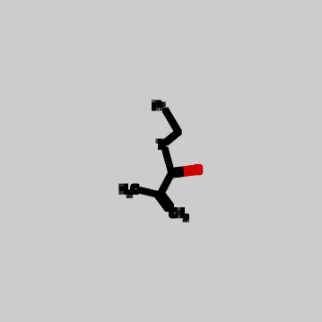 C=C(C)[C](=O)[Ti][CH2]C(C)C